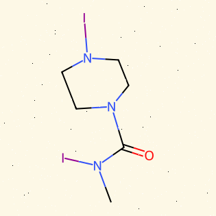 CN(I)C(=O)N1CCN(I)CC1